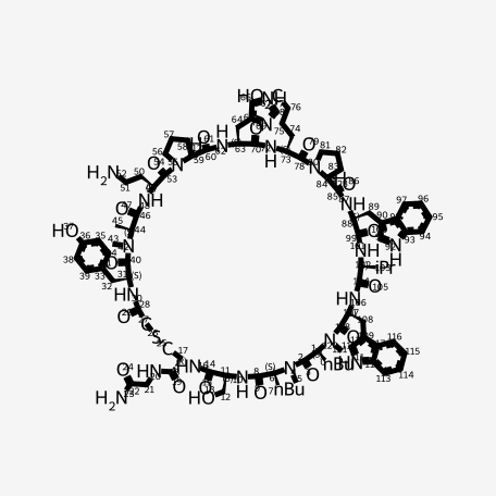 CCCC[C@H]1C(=O)N(C)[C@@H](CCCC)C(=O)N[C@@H](CO)C(=O)N[C@H](C(=O)NCC(N)=O)CSCC(=O)N[C@@H](Cc2ccc(O)cc2)C(=O)N(C)[C@@H](C)C(=O)N[C@@H](CCN)C(=O)N2CCC[C@H]2C(=O)N[C@@H](Cc2c[nH]cn2)C(=O)N[C@@H](CCCC(=O)O)C(=O)N2CCC[C@H]2C(=O)N[C@@H](Cc2c[nH]c3ccccc23)C(=O)N[C@@H](C(C)C)C(=O)N[C@@H](Cc2c[nH]c3ccccc23)C(=O)N1C